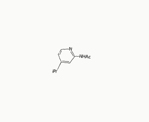 CC(=O)Nc1cc(C(C)C)ccn1